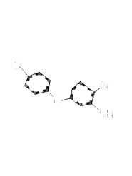 N#Cc1cc(Oc2ccc(Cl)cc2)ccc1Br